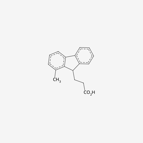 Cc1cccc2c1C(CCC(=O)O)c1ccccc1-2